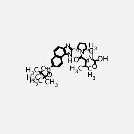 CC(C)[C@H](NC(=O)O)C(=O)N1[C@@H](C)CC[C@H]1c1nc2ccc3cc(B4OC(C)(C)C(C)(C)O4)ccc3c2[nH]1